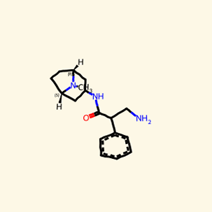 CN1[C@@H]2CC[C@H]1CC(NC(=O)C(CN)c1ccccc1)C2